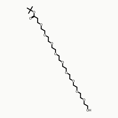 CC(C)(C)OC(=O)CCOCCOCCOCCOCCOCCOCCOCCOCCOCCO